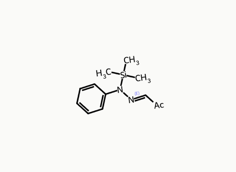 CC(=O)/C=N/N(c1ccccc1)[Si](C)(C)C